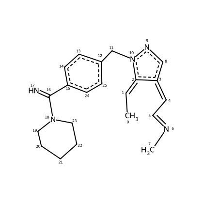 C\C=c1/c(=C\C=N\C)cnn1Cc1ccc(C(=N)N2CCCCC2)cc1